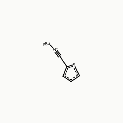 CCCC[N+]#Cc1cccs1